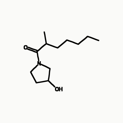 CCCCCC(C)C(=O)N1CCC(O)C1